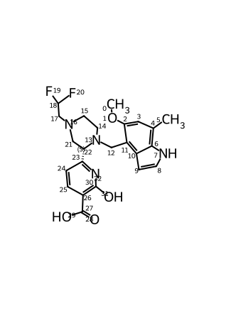 COc1cc(C)c2[nH]ccc2c1CN1CCN(CC(F)F)C[C@H]1c1ccc(C(=O)O)c(O)n1